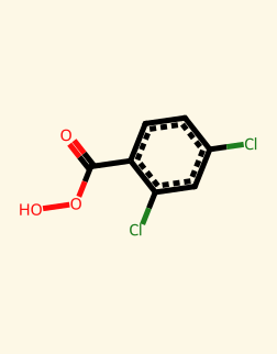 O=C(OO)c1ccc(Cl)cc1Cl